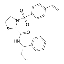 [CH2]C[C@H](NC(=O)[C@@H]1SCCN1S(=O)(=O)c1ccc(C=C)cc1)c1ccccc1